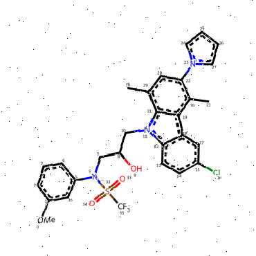 COc1cccc(N(CC(O)Cn2c3ccc(Cl)cc3c3c(C)c(-n4cccc4)cc(C)c32)S(=O)(=O)C(F)(F)F)c1